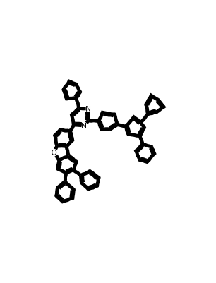 c1ccc(-c2cc(-c3ccccc3)cc(-c3ccc(-c4nc(-c5ccccc5)cc(-c5ccc6oc7cc(-c8ccccc8)c(-c8ccccc8)cc7c6c5)n4)cc3)c2)cc1